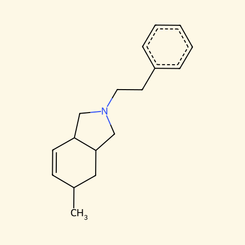 CC1C=CC2CN(CCc3ccccc3)CC2C1